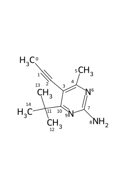 CC#Cc1c(C)nc(N)nc1C(C)(C)C